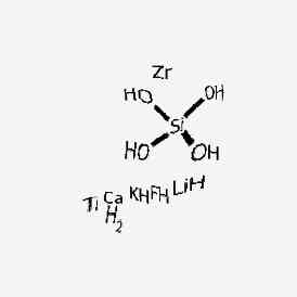 F.O[Si](O)(O)O.[CaH2].[KH].[LiH].[Ti].[Zr]